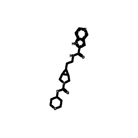 O=C(NCCC1C2CN(C(=O)OC3CCOCC3)CC12)c1cc2cnccc2[nH]1